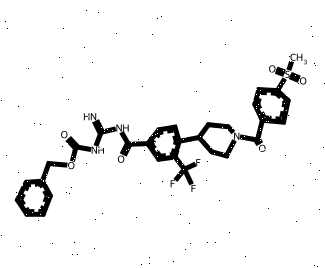 CS(=O)(=O)c1ccc(C(=O)N2CCC(c3ccc(C(=O)NC(=N)NC(=O)OCc4ccccc4)cc3C(F)(F)F)CC2)cc1